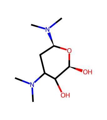 CN(C)C1C[C@@H](N(C)C)O[C@@H](O)C1O